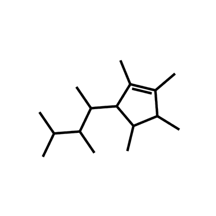 CC1=C(C)C(C(C)C(C)C(C)C)C(C)C1C